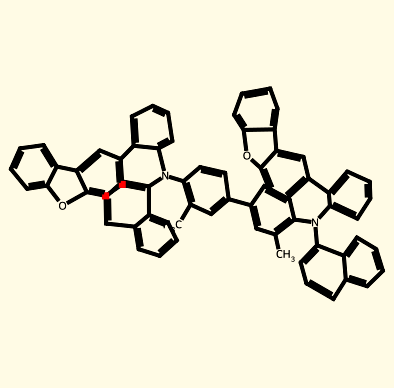 Cc1cc(-c2ccc(N(c3ccccc3-c3ccc4oc5ccccc5c4c3)c3cccc4ccccc34)c(C)c2)ccc1N(c1ccccc1-c1ccc2oc3ccccc3c2c1)c1cccc2ccccc12